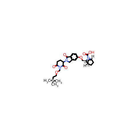 C[Si](C)(C)CCOCN1C(=O)CCC(N2Cc3cc(OC[C@@H]4[C@H]5CC[C@H](C5)N4C(=O)O)ccc3C2=O)C1=O